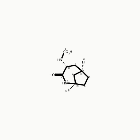 O=C(O)N[C@@H]1C[C@H]2CC[C@H](C2)NC1=O